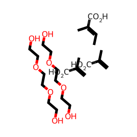 C=C(C)C(=O)O.C=C(C)C(=O)O.CC=C(C)C(=O)O.OCCOCCOCCO.OCCOCCOCCO